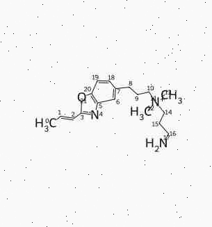 C/C=C/c1nc2cc(CCC[N+](C)(C)CCCN)ccc2o1